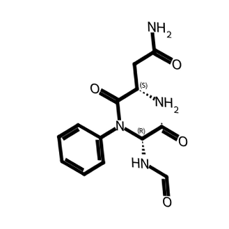 NC(=O)C[C@H](N)C(=O)N(c1ccccc1)[C@H]([C]=O)NC=O